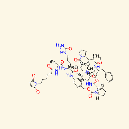 CC[C@H](C)[C@@H]([C@@H](CC(=O)N1CCC[C@H]1[C@H](OC)[C@@H](C)C(=O)N[C@@H](Cc1ccccc1)C(=O)O)OC)N(C)C(=O)[C@@H](NC(=O)[C@@H]1[C@H]2CC[C@H](C2)N1C(=O)OCc1ccc(NC(=O)[C@H](CCCNC(N)=O)NC(=O)[C@@H](NC(=O)CCCCCN2C(=O)C=CC2=O)C(C)C)cc1)C(C)C